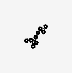 C1=CC(c2ccccc2)CC=C1N(c1ccc(-c2ccc(-c3cccc4c3c3ccccc3n4-c3ccccc3)cc2)cc1)c1cccc2c1sc1ccccc12